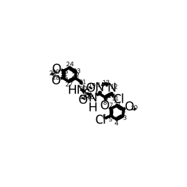 COc1ccc(Cl)c(Oc2c(Cl)ncnc2NS(=O)(=O)NCc2ccc3c(c2)OCO3)c1